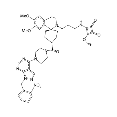 CCOc1c(NCCCN2CCc3cc(OC)c(OC)cc3[C@]23CC[C@H](C(=O)N2CCN(c4ncnc5c4cnn5Cc4ccccc4[N+](=O)[O-])CC2)CC3)c(=O)c1=O